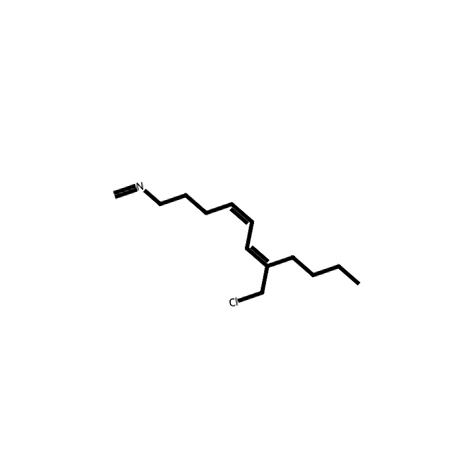 C=NCCC/C=C\C=C(\CCl)CCCC